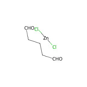 O=CCCCC=O.[Cl][Zn][Cl]